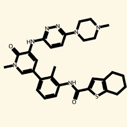 Cc1c(NC(=O)c2cc3c(s2)CCCC3)cccc1-c1cc(Nc2ccc(N3CCN(C)CC3)nn2)c(=O)n(C)c1